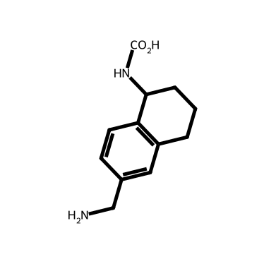 NCc1ccc2c(c1)CCCC2NC(=O)O